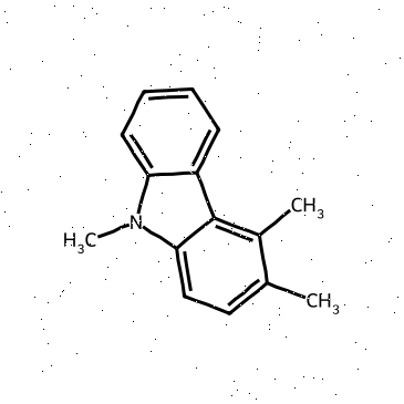 Cc1ccc2c(c1C)c1ccccc1n2C